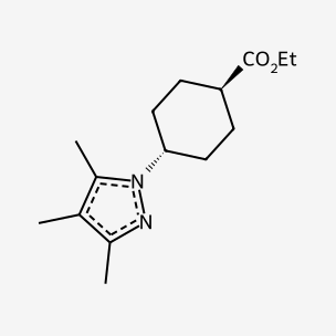 CCOC(=O)[C@H]1CC[C@H](n2nc(C)c(C)c2C)CC1